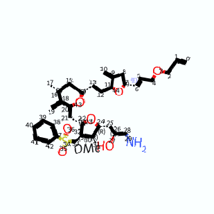 C=CCOC/C=C/[C@H]1CC(=C)C(CC[C@H]2C[C@@H](C)C(=C)C(C[C@@H]3O[C@H](C[C@H](O)CN)[C@H](OC)[C@H]3CS(=O)(=O)c3ccccc3)O2)O1